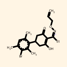 C=CCO/N=C(/CC)C1=C(O)CC(c2c(C)cc(C)c(Br)c2C)CC1=O